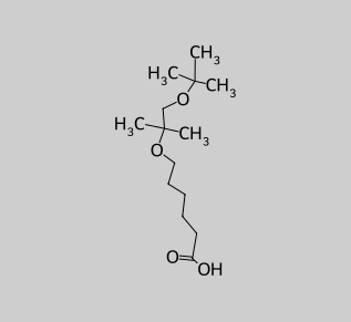 CC(C)(C)OCC(C)(C)OCCCCCC(=O)O